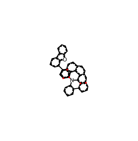 c1ccc(-c2ccccc2N(c2ccc(-c3cccc4c3oc3ccccc34)cc2)c2cccc3ccc4ccc5ccccc5c4c23)cc1